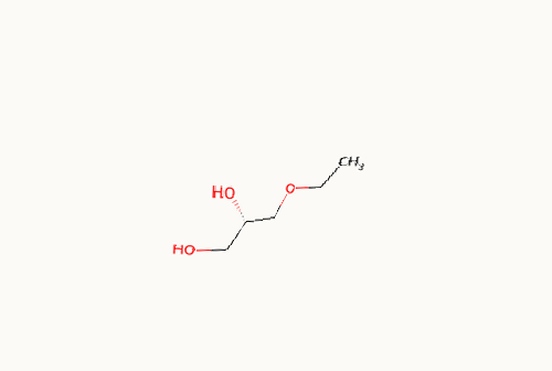 CCOC[C@@H](O)CO